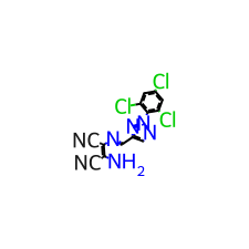 N#CC(N)=C(C#N)N=Cc1cnn(-c2c(Cl)cc(Cl)cc2Cl)n1